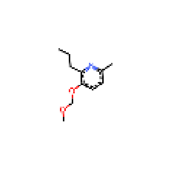 CCCc1nc(C)ccc1OCOC